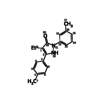 CCc1c(-c2ccc(C)cc2)[nH]n(-c2cccc(C)c2)c1=O